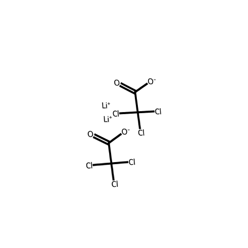 O=C([O-])C(Cl)(Cl)Cl.O=C([O-])C(Cl)(Cl)Cl.[Li+].[Li+]